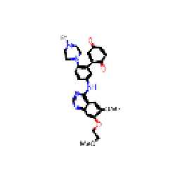 CCN1CCN(c2ccc(Nc3ncnc4cc(OCCOC)c(OC)cc34)cc2C2=CC(=O)C=CC2=O)CC1